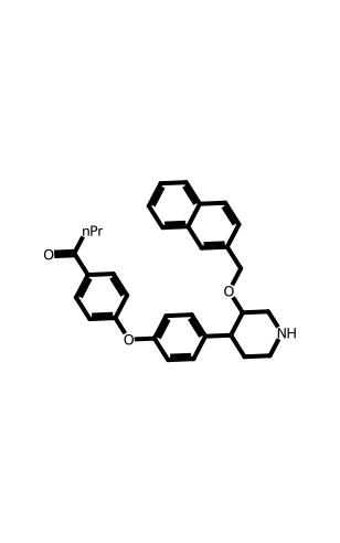 CCCC(=O)c1ccc(Oc2ccc(C3CCNCC3OCc3ccc4ccccc4c3)cc2)cc1